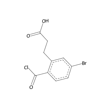 O=C(O)CCc1cc(Br)ccc1C(=O)Cl